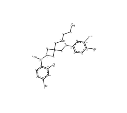 CCC(C)c1ccc([S+]([O-])N2CC(CNCCO)(COc3ccc(C#N)c(F)c3)C2)c(Cl)c1